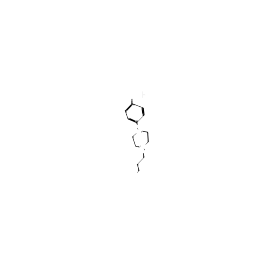 O=Cc1ccc(N2CCN(CCCO)CC2)cc1